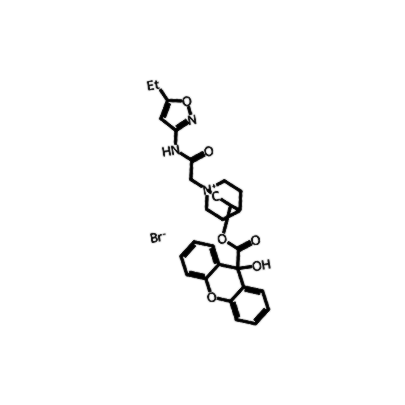 CCc1cc(NC(=O)C[N+]23CCC(CC2)C(OC(=O)C2(O)c4ccccc4Oc4ccccc42)C3)no1.[Br-]